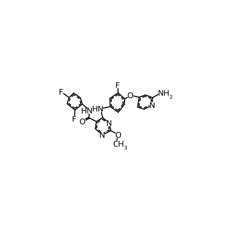 COc1ncc(C(=O)Nc2ccc(F)cc2F)c(Nc2ccc(Oc3ccnc(N)c3)c(F)c2)n1